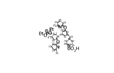 CCOP(=O)(Cc1cccc(Oc2cccc(C)n2)c1)OCC.Cc1cccc(Oc2cccc(C=C3CCN(C(=O)O)CC3)c2)n1